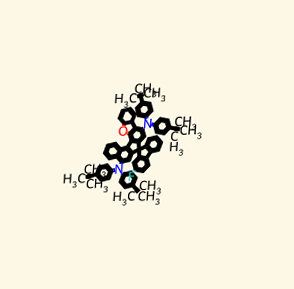 CC(C)(C)c1ccc(N(c2ccc(C(C)(C)C)cc2)c2cc3c(c4c2C2C=CC=CC2O4)-c2c(cc(N(c4ccc(C(C)(C)C)cc4)c4ccc(C(C)(C)C)cc4)c4ccccc24)C32c3ccccc3-c3ccc(F)cc32)cc1